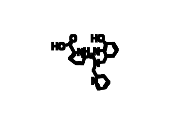 Nc1c(O)cccc1CN(Cc1ccccn1)Cc1cccc(C(=O)O)n1